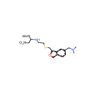 CNC(C[N+](=O)[O-])NCCSCc1occ2ccc(CN(C)C)cc12